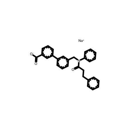 O=C([O-])c1cccc(-c2cccc(CN(C(=O)CCc3ccccc3)c3ccccc3)c2)c1.[Na+]